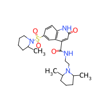 CC1CCCC(C)N1CCNC(=O)c1cc(=O)[nH]c2ccc(S(=O)(=O)N3CCCCC3C)cc12